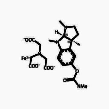 CNC(=O)Oc1ccc2c(c1)[C@]1(C)CCN(C)[C@@H]1N2C.O=C([O-])CN(CC(=O)[O-])CC(=O)[O-].[Fe+3]